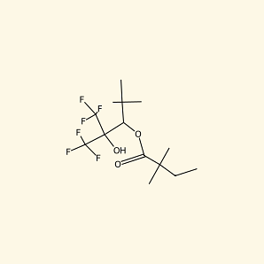 CCC(C)(C)C(=O)OC(C(C)(C)C)C(O)(C(F)(F)F)C(F)(F)F